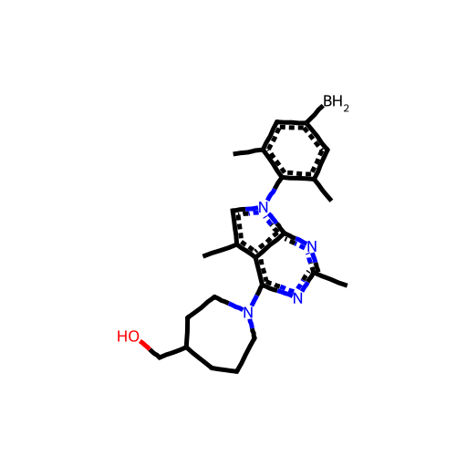 Bc1cc(C)c(-n2cc(C)c3c(N4CCCC(CO)CC4)nc(C)nc32)c(C)c1